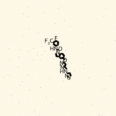 Cn1ccc(NCc2cc(Oc3ccc4c(ccn4C(=O)Nc4ccc(F)c(C(F)(F)F)c4)c3)ncn2)n1